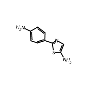 Nc1ccc(-c2ncc(N)s2)cc1